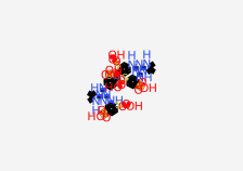 CC(C)C(C)Nc1nc(Nc2ccc(/C=C/c3ccc(Nc4nc(Nc5cc(SOOO)ccc5S(=O)(=O)O)nc(NC(C)C(C)C)n4)cc3SOOO)c(S(=O)(=O)O)c2)nc(Nc2cc(S(=O)(=O)O)ccc2SOOO)n1